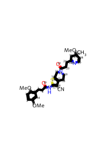 COc1ccc(OC)c(CCC(=O)Nc2sc3c(c2C#N)CCN(C(=O)CCC2=NC=CC(C)(OC)C2)C3)c1